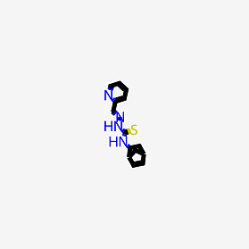 S=C(N/N=C/c1ccccn1)NC1CC2C=CC1C2